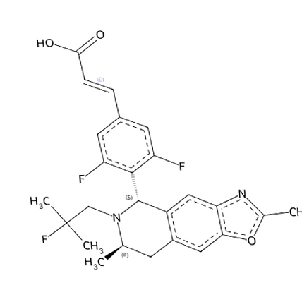 Cc1nc2cc3c(cc2o1)C[C@@H](C)N(CC(C)(C)F)[C@@H]3c1c(F)cc(/C=C/C(=O)O)cc1F